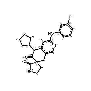 O=C1NCC[C@@]12Cc1cnc(Nc3cccc(F)c3)nc1N(C1CCCC1)C2=O